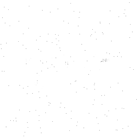 Cc1cc2c(c(N3CCN(CC[C@H]4CC[C@H](N)CC4)CC3)n1)CCO2